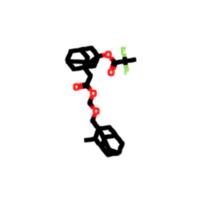 CC1C2CC3CC(C2)CC1(COCOC(=O)CC12CC4CC(C1)CC(OC(=O)C(C)(F)F)(C4)C2)C3